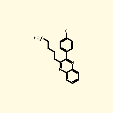 O=C(O)CCCCc1nc2ccccc2nc1-c1ccc(Cl)cc1